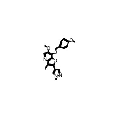 COc1ccc(COc2c(OC)cnc3c(I)c(-c4cnn(C)c4)oc23)cc1